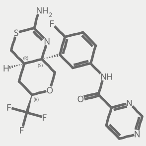 NC1=N[C@@]2(c3cc(NC(=O)c4ccncn4)ccc3F)CO[C@@H](C(F)(F)F)C[C@H]2CS1